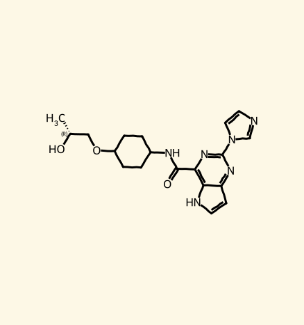 C[C@@H](O)COC1CCC(NC(=O)c2nc(-n3ccnc3)nc3cc[nH]c23)CC1